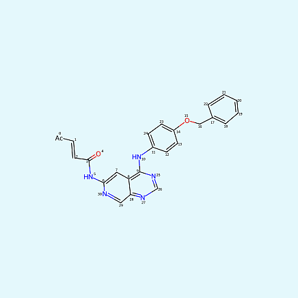 CC(=O)C=CC(=O)Nc1cc2c(Nc3ccc(OCc4ccccc4)cc3)ncnc2cn1